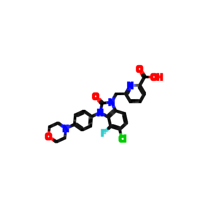 O=C(O)c1cccc(Cn2c(=O)n(-c3ccc(N4CCOCC4)cc3)c3c(F)c(Cl)ccc32)n1